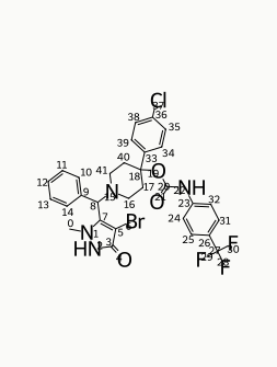 Cn1[nH]c(=O)c(Br)c1C(c1ccccc1)N1CCC(OC(=O)Nc2ccc(C(F)(F)F)cc2)(c2ccc(Cl)cc2)CC1